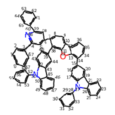 c1ccc(-c2cc(-c3ccc4c(oc5c(-c6ccc7c(c6)c6ccccc6n7-c6ccccc6)cccc54)c3-c3ccc4c(c3)c3ccccc3n4-c3ccccc3)cc(-c3ccccc3)n2)cc1